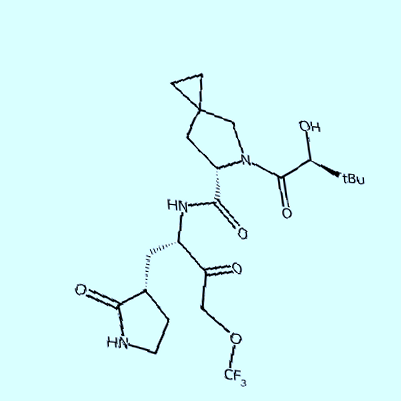 CC(C)(C)[C@H](O)C(=O)N1CC2(CC2)C[C@H]1C(=O)N[C@@H](C[C@@H]1CCNC1=O)C(=O)COC(F)(F)F